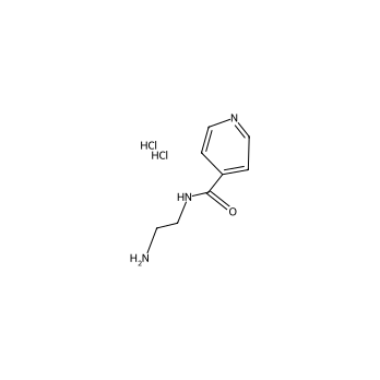 Cl.Cl.NCCNC(=O)c1ccncc1